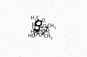 CC(=O)OC[C@]12CC(=O)C(C)=C[C@H]1O[C@@H]1[C@H](O)[C@@H](OC(C)=O)[C@@]2(C)[C@]12CO2